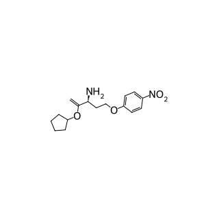 C=C(OC1CCCC1)[C@@H](N)CCOc1ccc([N+](=O)[O-])cc1